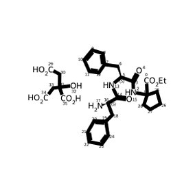 CCOC(=O)C1(NC(=O)[C@H](Cc2ccccc2)NC(=O)[C@@H](N)Cc2ccccc2)CCCC1.O=C(O)CC(O)(CC(=O)O)C(=O)O